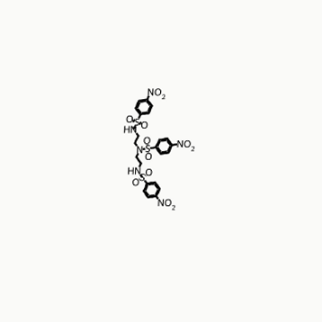 O=[N+]([O-])c1ccc(S(=O)(=O)NCCN(CCNS(=O)(=O)c2ccc([N+](=O)[O-])cc2)S(=O)(=O)c2ccc([N+](=O)[O-])cc2)cc1